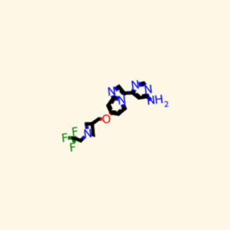 Nc1cc(-c2cnc3cc(OCC4CN(CC(F)(F)F)C4)ccn23)ncn1